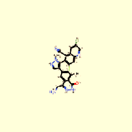 Cc1cc(-c2cnn(C)c2-c2c(F)cc3ncc(Cl)cc3c2C#N)cc2c(CN)n[nH]c(=O)c12